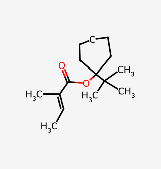 CC=C(C)C(=O)OC1(C(C)(C)C)CCCCC1